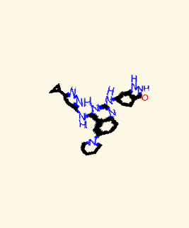 O=c1[nH][nH]c2cc(Nc3nc(Nc4cc(C5CC5)n[nH]4)c4cc(N5CCCCC5)ccc4n3)ccc12